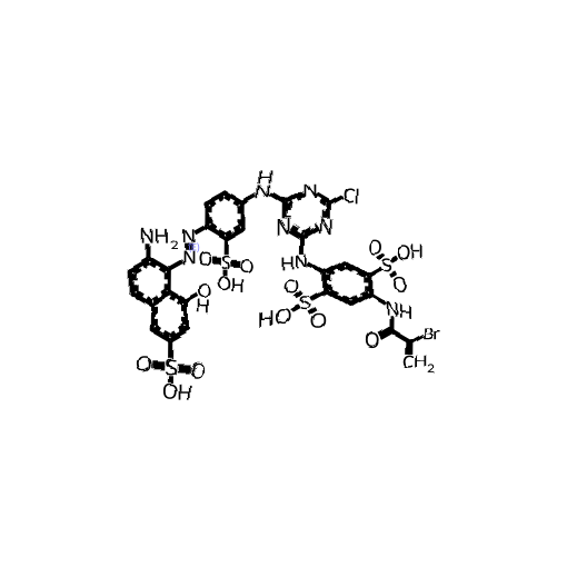 C=C(Br)C(=O)Nc1cc(S(=O)(=O)O)c(Nc2nc(Cl)nc(Nc3ccc(/N=N/c4c(N)ccc5cc(S(=O)(=O)O)cc(O)c45)c(S(=O)(=O)O)c3)n2)cc1S(=O)(=O)O